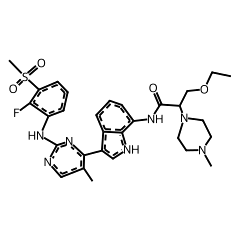 CCOCC(C(=O)Nc1cccc2c(-c3nc(Nc4cccc(S(C)(=O)=O)c4F)ncc3C)c[nH]c12)N1CCN(C)CC1